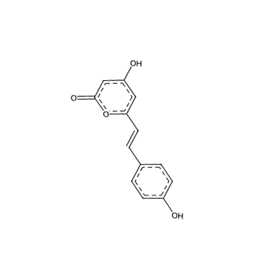 O=c1cc(O)cc(/C=C/c2ccc(O)cc2)o1